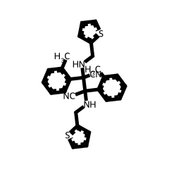 Cc1ccccc1C(C#N)(NCc1cccs1)C(C#N)(NCc1cccs1)c1ccccc1C